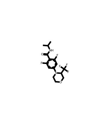 CC(C)NC(=O)c1c(F)cc(N2CCOCC2C(F)(F)F)cc1F